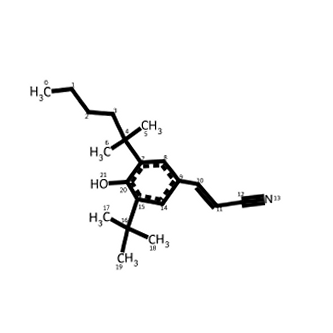 CCCCC(C)(C)c1cc(C=CC#N)cc(C(C)(C)C)c1O